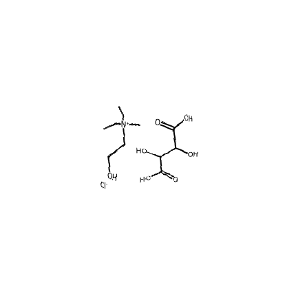 C[N+](C)(C)CCO.O=C(O)C(O)C(O)C(=O)O.[Cl-]